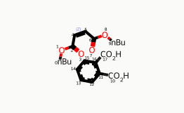 CCCCOC(=O)/C=C\C(=O)OCCCC.O=C(O)c1ccccc1C(=O)O